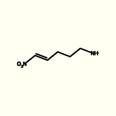 [NH]CCCC=C[N+](=O)[O-]